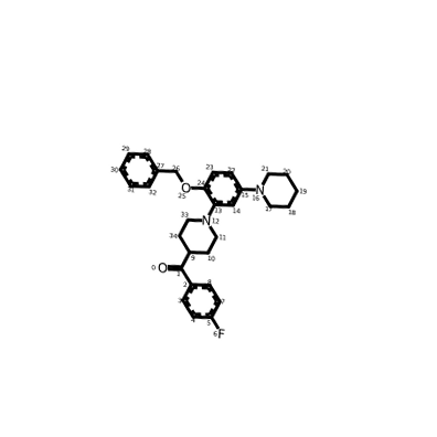 O=C(c1ccc(F)cc1)C1CCN(c2cc(N3CCCCC3)ccc2OCc2ccccc2)CC1